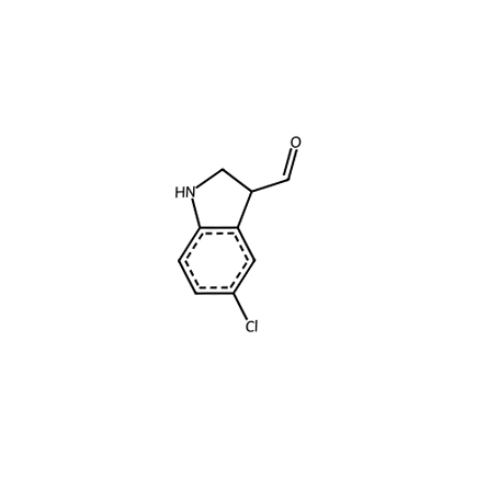 O=CC1CNc2ccc(Cl)cc21